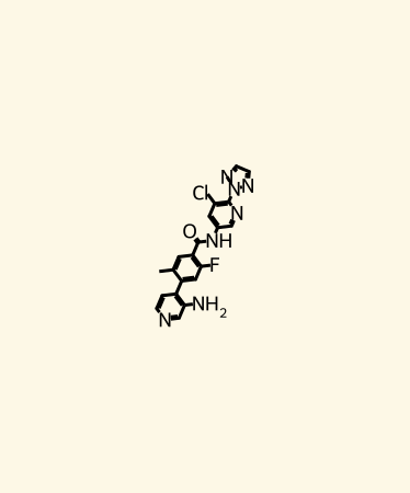 Cc1cc(C(=O)Nc2cnc(-n3nccn3)c(Cl)c2)c(F)cc1-c1ccncc1N